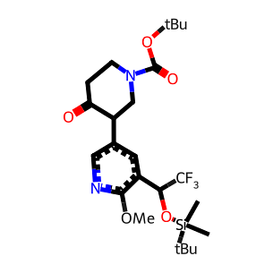 COc1ncc(C2CN(C(=O)OC(C)(C)C)CCC2=O)cc1C(O[Si](C)(C)C(C)(C)C)C(F)(F)F